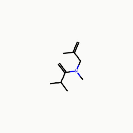 C=C(C)CN(C)C(=C)C(C)C